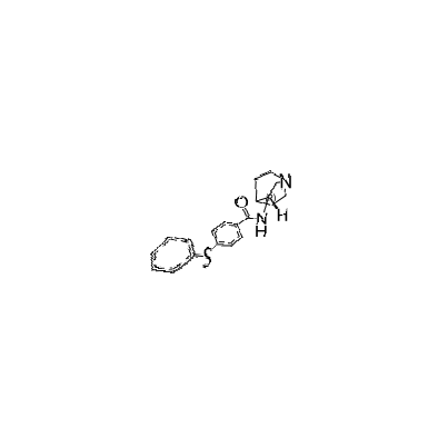 O=C(N[C@H]1CN2CCC1CC2)c1ccc(Sc2ccccc2)cc1